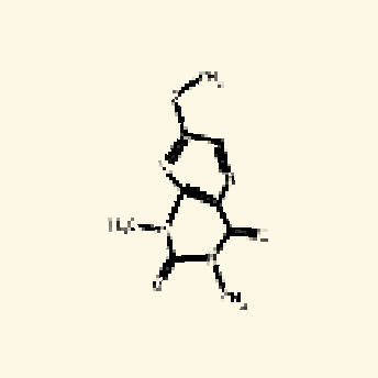 CSc1cnc2c(=O)n(C)c(=O)n(C)c2n1